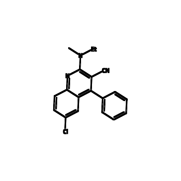 CCN(C)c1nc2ccc(Cl)cc2c(-c2ccccc2)c1C#N